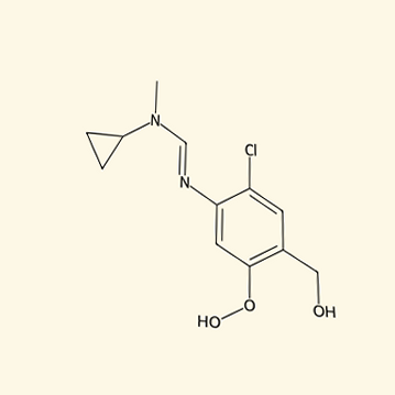 CN(/C=N/c1cc(OO)c(CO)cc1Cl)C1CC1